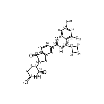 O=C1CCC(N2Cc3cc(C(=O)N[C@@H](c4ccc(F)cc4F)C4CCC4)ccc3C2=O)C(=O)N1